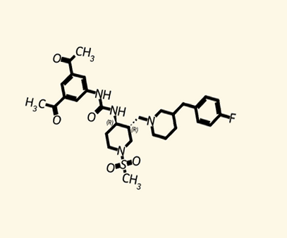 CC(=O)c1cc(NC(=O)N[C@@H]2CCN(S(C)(=O)=O)C[C@H]2CN2CCCC(Cc3ccc(F)cc3)C2)cc(C(C)=O)c1